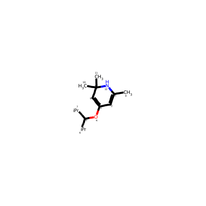 CC1=CC(OC(C(C)C)C(C)C)=CC(C)(C)N1